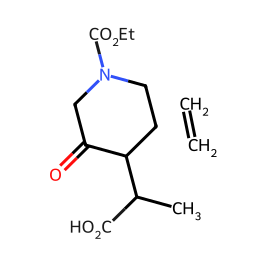 C=C.CCOC(=O)N1CCC(C(C)C(=O)O)C(=O)C1